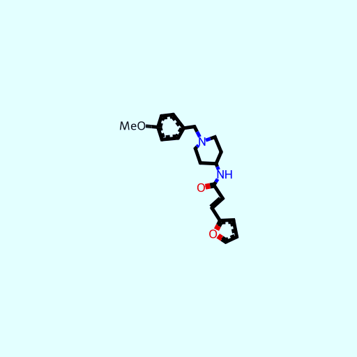 COc1ccc(CN2CCC(NC(=O)/C=C/c3ccco3)CC2)cc1